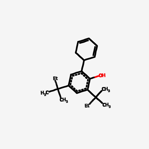 CCC(C)(C)c1cc(C2C=CC=CC2)c(O)c(C(C)(C)CC)c1